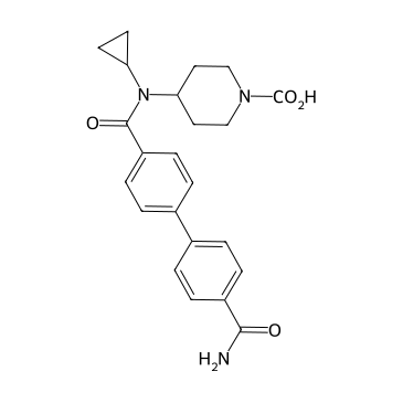 NC(=O)c1ccc(-c2ccc(C(=O)N(C3CC3)C3CCN(C(=O)O)CC3)cc2)cc1